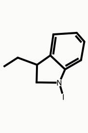 CCC1CN(I)c2ccccc21